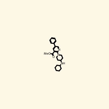 COC(=O)c1cc(-c2ccccc2)cnc1N1CCC(NC2CCCCC2)CC1